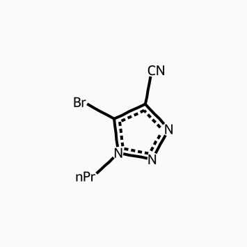 CCCn1nnc(C#N)c1Br